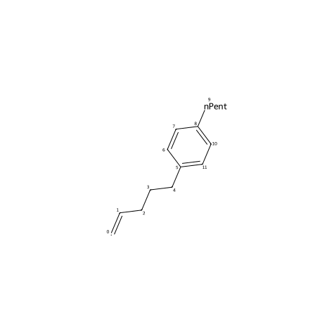 [CH]=CCCCc1ccc(CCCCC)cc1